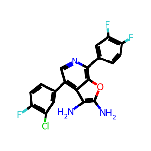 Nc1oc2c(-c3ccc(F)c(F)c3)ncc(-c3ccc(F)c(Cl)c3)c2c1N